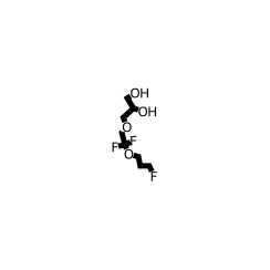 OCC(O)COCC(F)(F)OCCCF